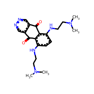 CN(C)CCNc1ccc(NCCN(C)C)c2c1C(=O)c1cnncc1C2=O